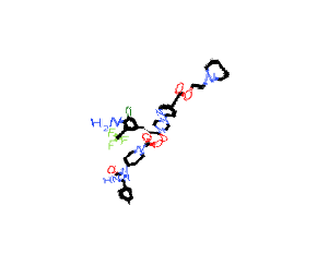 Nc1c(Cl)cc(C[C@@H](OC(=O)N2CCC(n3nc(-c4ccccc4)[nH]c3=O)CC2)C(=O)N2CCN(c3ccc(C(=O)OCCN4CCCCC4)cn3)CC2)cc1C(F)(F)F